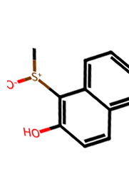 C[S+]([O-])c1c(O)ccc2ccccc12